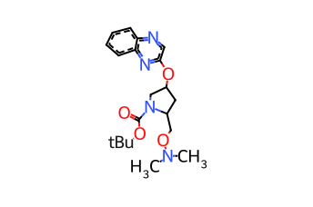 CN(C)OCC1CC(Oc2cnc3ccccc3n2)CN1C(=O)OC(C)(C)C